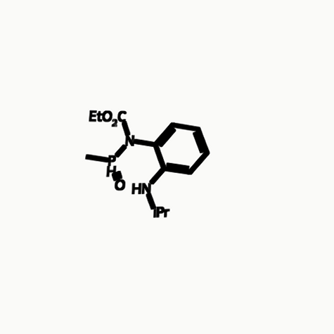 CCOC(=O)N(c1ccccc1NC(C)C)[PH](C)=O